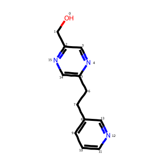 OCc1cnc(CCc2cccnc2)cn1